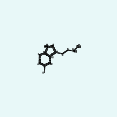 Cc1ccc2[nH]cc(CCNO)c2c1